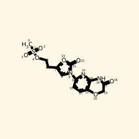 CS(=O)(=O)OCCc1cn(-c2ccc3c(n2)NC(=O)CO3)c(=O)o1